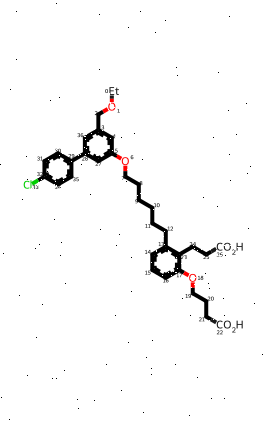 CCOCc1cc(OCCCCCCc2cccc(OCCCC(=O)O)c2CCC(=O)O)cc(-c2ccc(Cl)cc2)c1